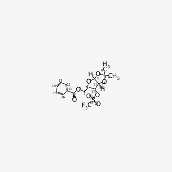 CC1(C)O[C@H]2O[C@H](COC(=O)c3ccccc3)[C@H](OS(=O)(=O)C(F)(F)F)[C@H]2O1